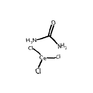 NC(N)=O.[Cl][Ce]([Cl])[Cl]